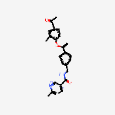 C=C(C)/N=C\C(=C/C)C(=O)NCc1ccc(C(=C)Oc2ccc(C(C)=O)cc2C)cc1